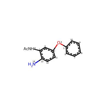 CC(=O)Nc1cc(Oc2ccccc2)ccc1N